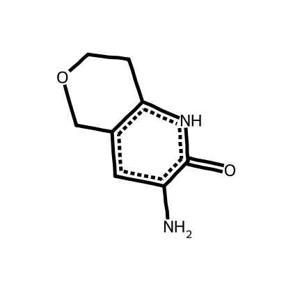 Nc1cc2c([nH]c1=O)CCOC2